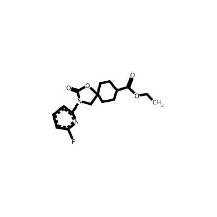 CCOC(=O)C1CCC2(CC1)CN(c1cccc(F)n1)C(=O)O2